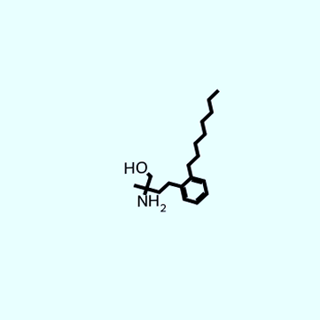 CCCCCCCCc1ccccc1CCC(C)(N)CO